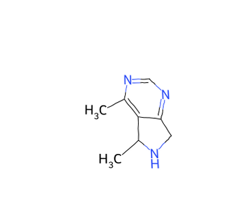 Cc1ncnc2c1C(C)NC2